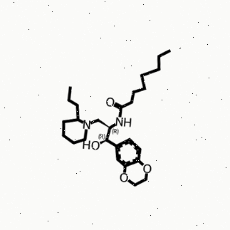 CCCCCCCC(=O)N[C@H](CN1CCCCC1CCC)[C@H](O)c1ccc2c(c1)OCCO2